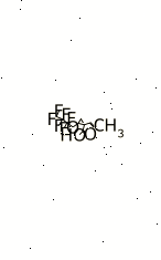 CC=CC1(C(=O)O)CC1OC(F)(F)C(F)(F)C(F)F